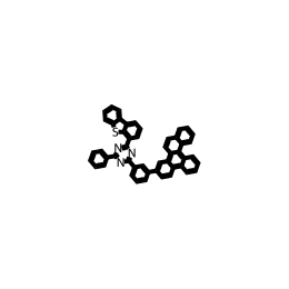 c1ccc(-c2nc(-c3cccc(-c4ccc5c6ccccc6c6c7ccccc7ccc6c5c4)c3)nc(-c3cccc4c3sc3ccccc34)n2)cc1